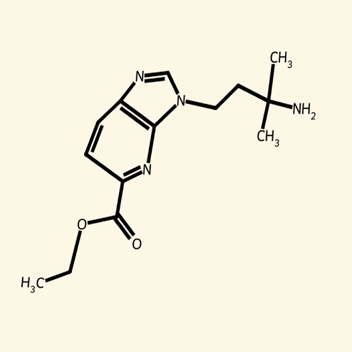 CCOC(=O)c1ccc2ncn(CCC(C)(C)N)c2n1